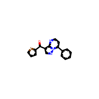 O=C(c1cccs1)c1cnn2c(-c3c[c]ccc3)ccnc12